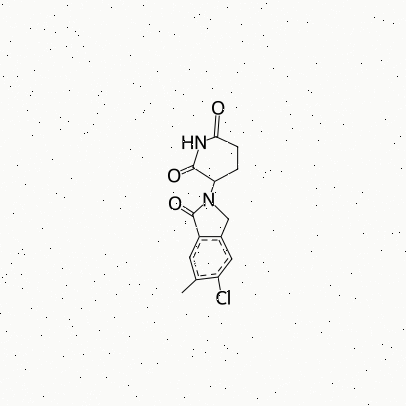 Cc1cc2c(cc1Cl)CN(C1CCC(=O)NC1=O)C2=O